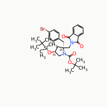 CC(C)(C)OC(=O)N1C[C@@H](O[Si](C)(C)C(C)(C)C)C[C@@]1(Cc1ccc(Br)cc1)CN1C(=O)c2ccccc2C1=O